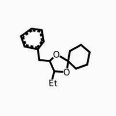 [CH2]CC1OC2(CCCCC2)OC1Cc1ccccc1